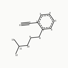 C#Cc1ccccc1CCCC(C)C